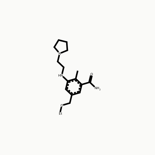 CCOCc1cc(NCCN2CCCC2)c(C)c(C(N)=O)c1